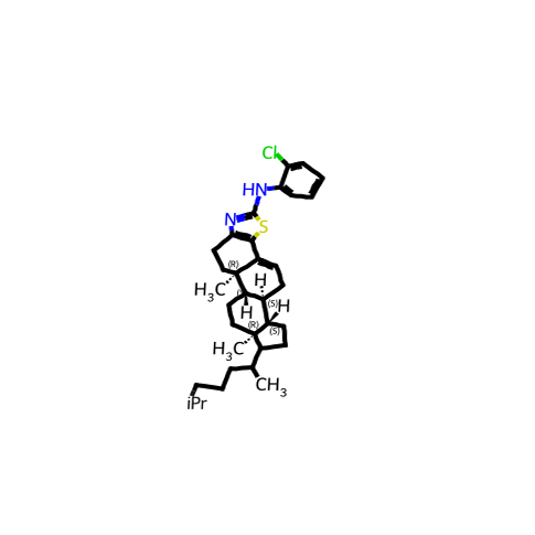 CC(C)CCCC(C)C1CC[C@H]2[C@@H]3CC=C4c5sc(Nc6ccccc6Cl)nc5CC[C@]4(C)[C@H]3CC[C@]12C